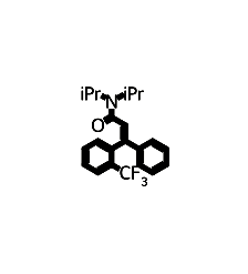 CC(C)N(C(=O)C=C(c1ccccc1)c1ccccc1C(F)(F)F)C(C)C